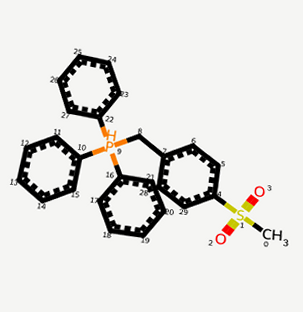 CS(=O)(=O)c1ccc(C[PH](c2ccccc2)(c2ccccc2)c2ccccc2)cc1